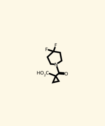 O=C(O)C1(C(=O)N2CCC(F)(F)CC2)CC1